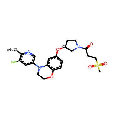 COc1ncc(N2CCOc3ccc(O[C@H]4CCN(C(=O)CCS(C)(=O)=O)C4)cc32)cc1F